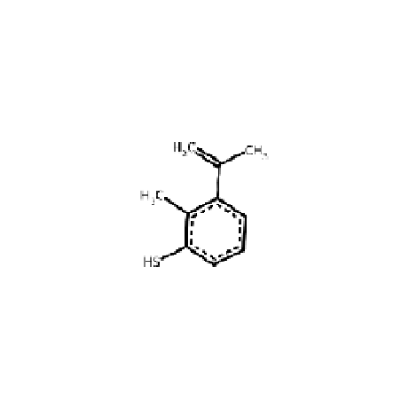 C=C(C)c1cccc(S)c1C